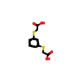 O=C(O)CSc1cccc(SCC(=O)O)c1